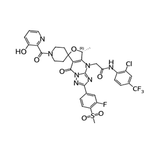 C[C@H]1OC2(CCN(C(=O)c3ncccc3O)CC2)c2c1n(CC(=O)Nc1ccc(C(F)(F)F)cc1Cl)c1nc(-c3ccc(S(C)(=O)=O)c(F)c3)nn1c2=O